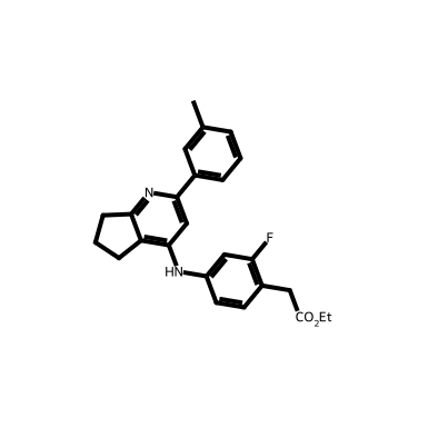 CCOC(=O)Cc1ccc(Nc2cc(-c3cccc(C)c3)nc3c2CCC3)cc1F